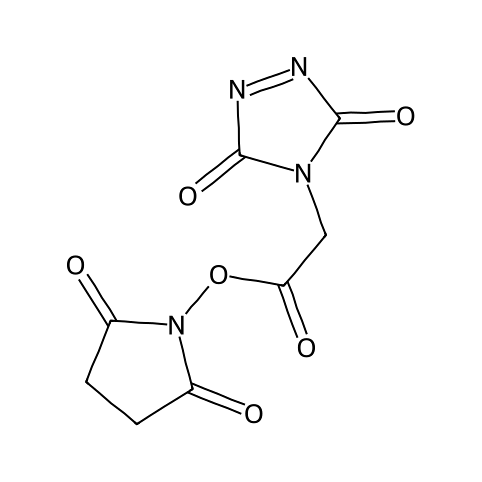 O=C(CN1C(=O)N=NC1=O)ON1C(=O)CCC1=O